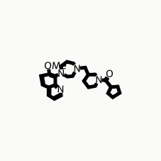 COc1ccc2cccnc2c1N1CCCN(CC2CCCN(C(=O)C3CCCC3)C2)CC1